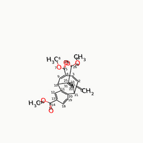 C=C1/C=C\C(C(=O)OC)=C/C2c3cc(C(=O)OC)ccc3C1c1ccc(C(=O)OC)cc12